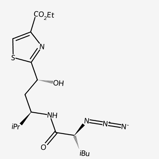 CCOC(=O)c1csc([C@H](O)C[C@@H](NC(=O)[C@@H](N=[N+]=[N-])[C@@H](C)CC)C(C)C)n1